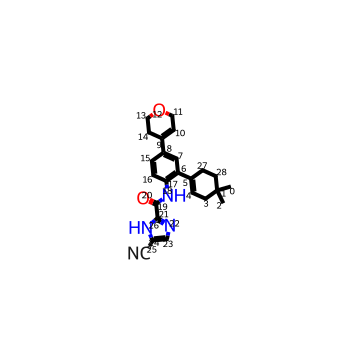 CC1(C)CC=C(c2cc(C3=CCOCC3)ccc2NC(=O)c2ncc(C#N)[nH]2)CC1